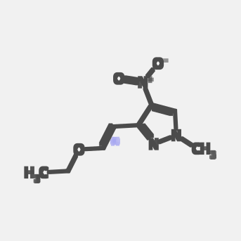 CCO/C=C/c1nn(C)cc1[N+](=O)[O-]